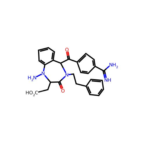 N=C(N)c1ccc(C(=O)C2c3ccccc3N(N)C(CC(=O)O)C(=O)N2CCc2ccccc2)cc1